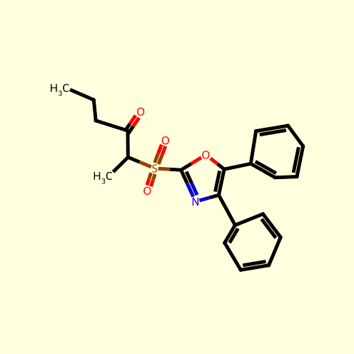 CCCC(=O)C(C)S(=O)(=O)c1nc(-c2ccccc2)c(-c2ccccc2)o1